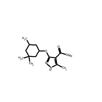 COC(=O)c1c(OC2CC(C)CC(C)(C)C2)n[nH]c1C